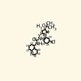 CC(C)(C)c1cc(CNC(=O)Nc2cccc3ncccc23)n(-c2cccc(Cl)c2)n1